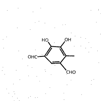 Cc1c(C=O)cc(C=O)c(O)c1O